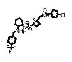 O=C(NCc1ccc(S(=O)(=O)NC2CCCCC2NCc2ccc(C(F)(F)F)cc2)s1)c1ccc(Cl)cc1